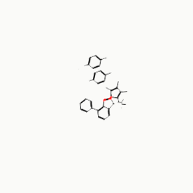 CC1=Cc2c(-c3ccccc3)cccc2[CH]1[Zr]([CH3])([CH3])(=[SiH2])[C]1=C(C)C(C)=C(C)C1C.Cc1ccc(S(=O)(=O)O)cc1.Cc1ccc(S(=O)(=O)O)cc1